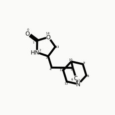 O=C1NC(CC2CN3CCC2CC3)CO1